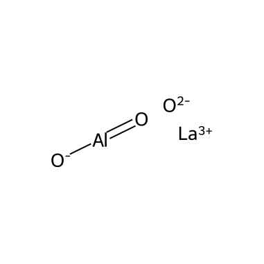 [La+3].[O-2].[O]=[Al][O-]